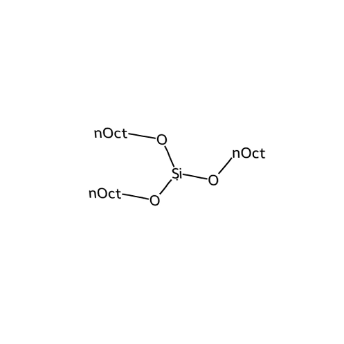 CCCCCCCCO[Si](OCCCCCCCC)OCCCCCCCC